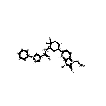 Cn1c(=O)n(CC(C)(C)C)c2ccc(C3CCC(C)(C)C(NC(=O)c4cnn(-c5ccccc5)c4)C3)nc21